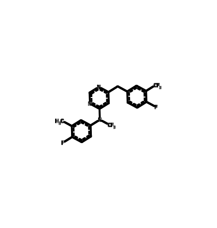 Cc1cc(N(c2cc(Cc3ccc(F)c(C(F)(F)F)c3)ncn2)C(F)(F)F)ccc1F